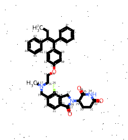 CC/C(=C(\c1ccccc1)c1ccc(OCCN(C)Cc2ccc3c(c2F)CN(C2CCC(=O)NC2=O)C3=O)cc1)c1ccccc1